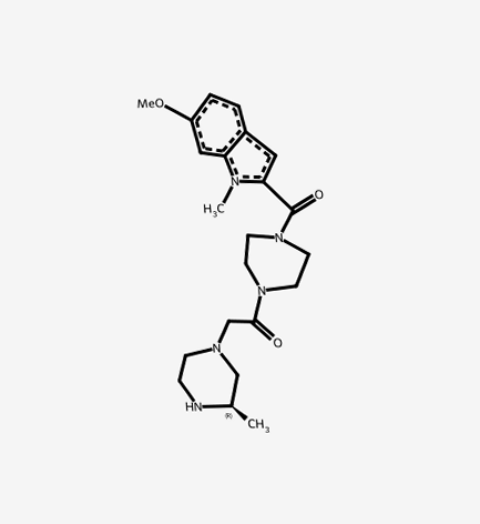 COc1ccc2cc(C(=O)N3CCN(C(=O)CN4CCN[C@H](C)C4)CC3)n(C)c2c1